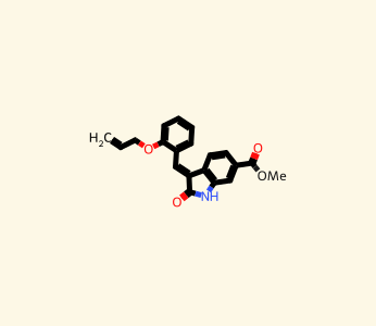 C=CCOc1ccccc1/C=C1/C(=O)Nc2cc(C(=O)OC)ccc21